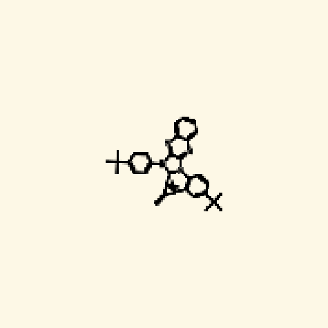 C=C1C2(C)c3cc(C(C)(C)C)ccc3N3c4nc5ccccc5nc4N(c4ccc(C(C)(C)C)cc4)C3C12C